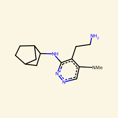 CNc1cnnc(NC2CC3CCC2C3)c1CCN